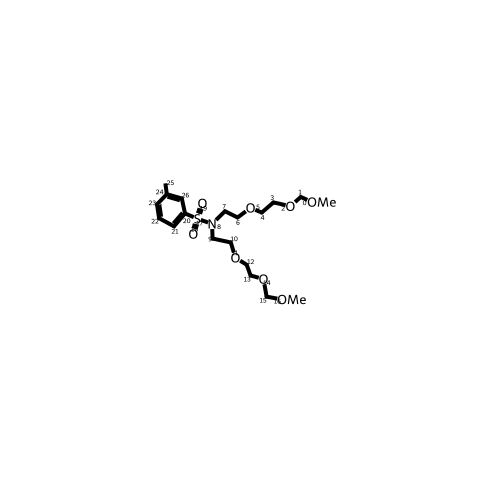 COCOCCOCCN(CCOCCOCOC)S(=O)(=O)c1cc[c]c(C)c1